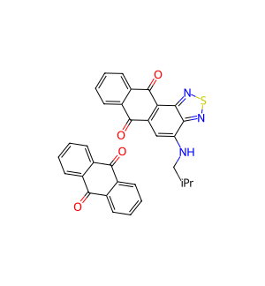 CC(C)CNc1cc2c(c3nsnc13)C(=O)c1ccccc1C2=O.O=C1c2ccccc2C(=O)c2ccccc21